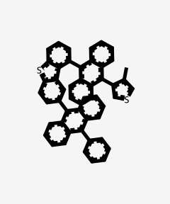 Cc1cscc1-c1c2ccccc2c(-c2cccc3sc4ccc(-c5c6ccccc6c(-c6ccccc6)c6ccccc56)cc4c23)c2ccccc12